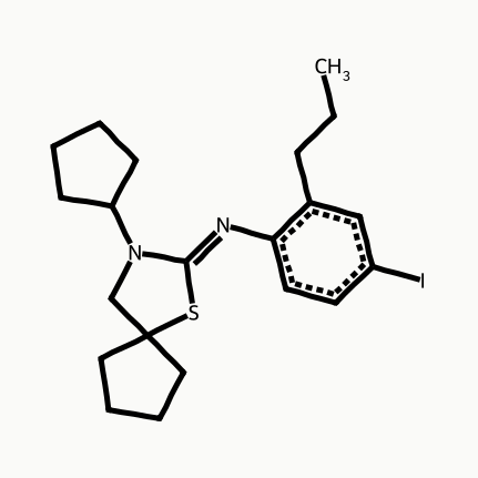 CCCc1cc(I)ccc1N=C1SC2(CCCC2)CN1C1CCCC1